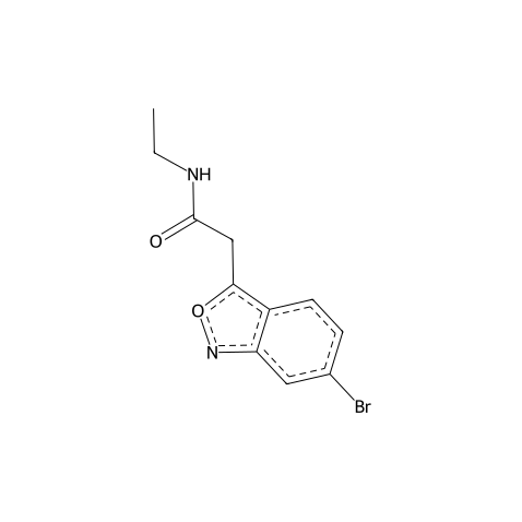 CCNC(=O)Cc1onc2cc(Br)ccc12